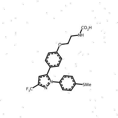 CSc1ccc(-n2nc(C(F)(F)F)cc2-c2ccc(OCCNC(=O)O)cc2)cc1